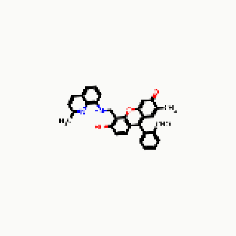 Cc1ccc2cccc(NCc3c(O)ccc4c(-c5ccccc5C=O)c5cc(C)c(=O)cc-5oc34)c2n1